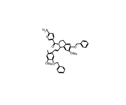 COc1cc(C)c(/C=C/C2c3cc(OC)c(OCc4ccccc4)cc3CCN2C(=O)c2ccc(N)nc2)cc1OCc1ccccc1